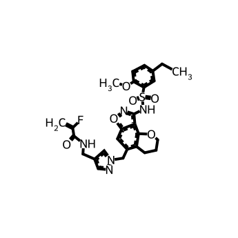 C=C(F)C(=O)NCc1cnn(Cc2cc3onc(NS(=O)(=O)c4cc(CC)ccc4OC)c3c3c2CCCO3)c1